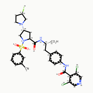 N#Cc1cccc(S(=O)(=O)N2C[C@H](N3CC[C@@H](F)C3)CC2C(=O)N[C@@H](Cc2ccc(NC(=O)c3c(Cl)cncc3Cl)cc2)C(=O)O)c1